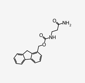 NC(=O)CCNC(=O)OCc1cccc2c1Cc1ccccc1-2